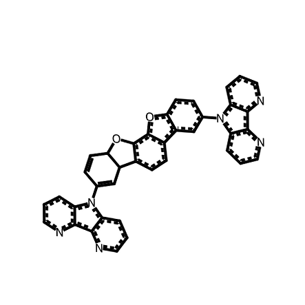 C1=CC2Oc3c(ccc4c3oc3ccc(-n5c6cccnc6c6ncccc65)cc34)C2C=C1n1c2cccnc2c2ncccc21